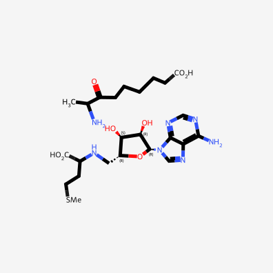 CC(N)C(=O)CCCCCC(=O)O.CSCCC(NC[C@H]1O[C@@H](n2cnc3c(N)ncnc32)[C@H](O)[C@@H]1O)C(=O)O